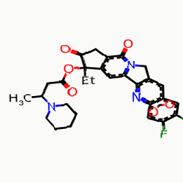 CCC1(OC(=O)CC(C)N2CCCCC2)C(=O)Cc2c1cc1n(c2=O)Cc2cc3c4c(F)c(F)c(c3nc2-1)OCO4